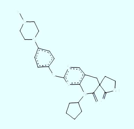 CC(C)N1CCN(c2ccc(Nc3ncc4c(n3)N(C3CCCC3)C(=O)C3(CCNC3=O)C4)cc2)CC1